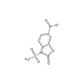 CS(=O)(=O)n1c(=O)oc2cc([N+](=O)[O-])ccc21